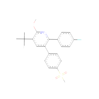 CCCCOc1nc(-c2ccc(F)cc2)c(-c2ccc(S(C)(=O)=O)cc2)cc1C(C)(CC)C(=O)O